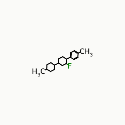 Cc1ccc(C2CCC(C3CCC(C)CC3)CC2F)cc1